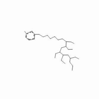 CCCC(CC)CC(CC)C(CC)CC(CC)C(CC)CCCCCCCc1cccc(O)c1